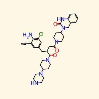 C#Cc1cc(C[C@@H](CC(=O)N2CCC(N3Cc4ccccc4NC3=O)CC2)C(=O)N2CCC(N3CCNCC3)CC2)cc(Cl)c1N